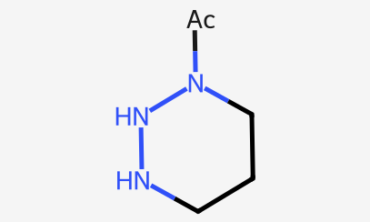 CC(=O)N1CCCNN1